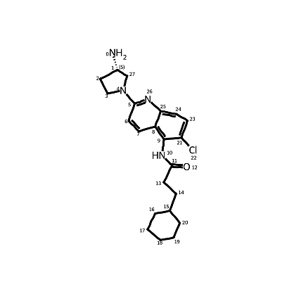 N[C@H]1CCN(c2ccc3c(NC(=O)CCC4CCCCC4)c(Cl)ccc3n2)C1